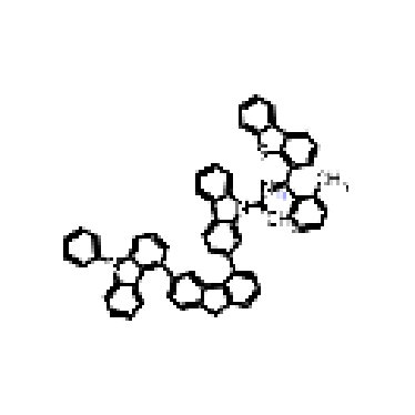 C=C(/N=C(\c1ccccc1C)c1cccc2c1sc1ccccc12)n1c2ccccc2c2ccc(-c3cccc4c3-c3cc(-c5cccc6c5c5ccccc5n6-c5ccccc5)ccc3C4)cc21